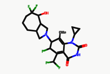 COC1=c2c(c(=O)[nH]c(=O)n2C2CC2)=C(C(F)F)C(F)C1N1CC2CCCC(F)(F)C(O)C2C1